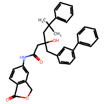 CC(C)(CC(O)(CC(=O)Nc1ccc2c(c1)COC2=O)Cc1cccc(-c2ccccc2)c1)c1ccccc1